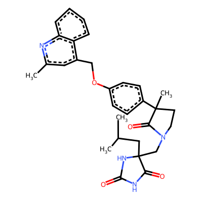 Cc1cc(COc2ccc(C3(C)CCN(CC4(CC(C)C)NC(=O)NC4=O)C3=O)cc2)c2ccccc2n1